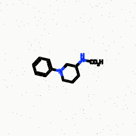 O=C(O)NC1CCCN(c2ccccc2)C1